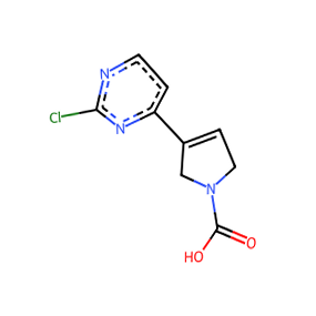 O=C(O)N1CC=C(c2ccnc(Cl)n2)C1